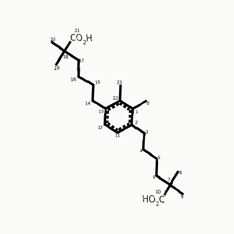 Cc1c(CCCCC(C)(C)C(=O)O)ccc(CCCCC(C)(C)C(=O)O)c1C